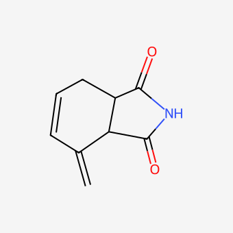 C=C1C=CCC2C(=O)NC(=O)C12